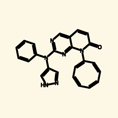 O=c1ccc2cnc(N(c3ccccc3)c3cn[nH]c3)nc2n1C1=CC=CC=CC=C1